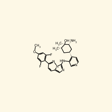 COc1cc(F)c(-c2ccc3cnc(Nc4cnccc4[C@H]4C[C@@H](N)[C@](C)(O)[C@@H](C)C4)n3n2)c(F)c1